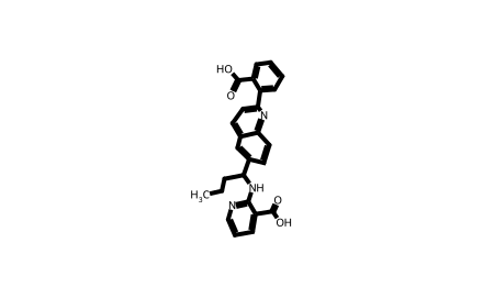 CCCC(Nc1ncccc1C(=O)O)c1ccc2nc(-c3ccccc3C(=O)O)ccc2c1